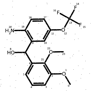 COc1cccc(C(O)c2cc(OC(F)(F)F)ccc2N)c1OC